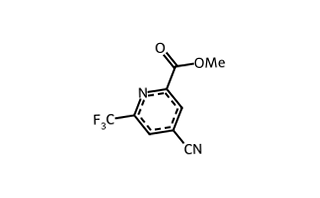 COC(=O)c1cc(C#N)cc(C(F)(F)F)n1